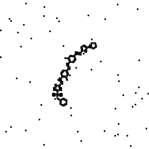 Cc1cc(/N=N/c2ccc(N3CCCC3)s2)ccc1/N=N/c1ccc(/N=N/c2nc(S(=O)(=O)Cc3ccccc3)ns2)c(C)c1